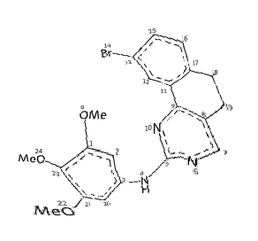 COc1cc(Nc2ncc3c(n2)-c2cc(Br)ccc2CC3)cc(OC)c1OC